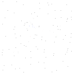 Cc1cccc(O[C@H]2C[C@@H]3CC[C@@](OC(=O)C(F)(F)F)(C2)N3)c1